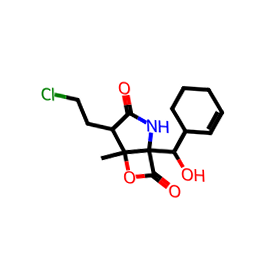 CC12OC(=O)C1(C(O)C1C=CCCC1)NC(=O)C2CCCl